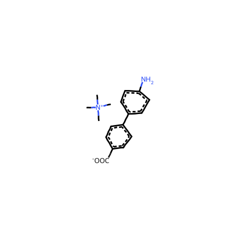 C[N+](C)(C)C.Nc1ccc(-c2ccc(C(=O)[O-])cc2)cc1